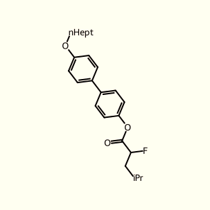 CCCCCCCOc1ccc(-c2ccc(OC(=O)C(F)CC(C)C)cc2)cc1